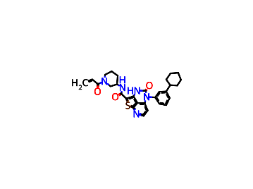 C=CC(=O)N1CCCC(NC(=O)c2sc3nccc4c3c2NC(=O)N4c2cccc(C3CCCCC3)c2)C1